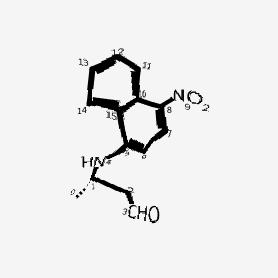 C[C@@H](CC=O)Nc1ccc([N+](=O)[O-])c2ccccc12